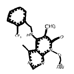 CCCCOn1c(=O)c(C=O)c(NCc2ccccc2C(F)(F)F)c2c(C)ncnc21